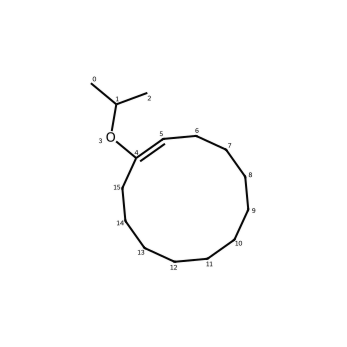 CC(C)OC1=CCCCCCCCCCC1